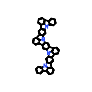 c1ccc2c(c1)c1cccc3c4cc5c6cccc7c8cc9c(cc8n(c5cc4n2c13)c76)c1cccc2c3cc4c5cccc6c7ccccc7n(c4cc3n9c12)c65